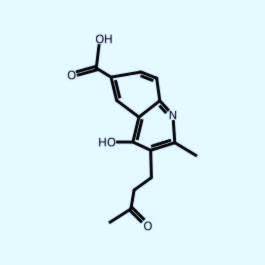 CC(=O)CCc1c(C)nc2ccc(C(=O)O)cc2c1O